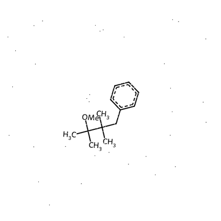 COC(C)(C)C(C)(C)Cc1ccccc1